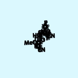 COc1cc(C(=O)NCC(O)(c2cc3c(c(-c4ccc(F)cc4)n2)OC[C@@]3(C#N)CF)C(F)(F)F)cc2cc(C#N)cnc12